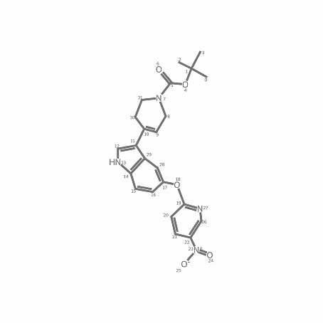 CC(C)(C)OC(=O)N1CC=C(c2c[nH]c3ccc(Oc4ccc([N+](=O)[O-])cn4)cc23)CC1